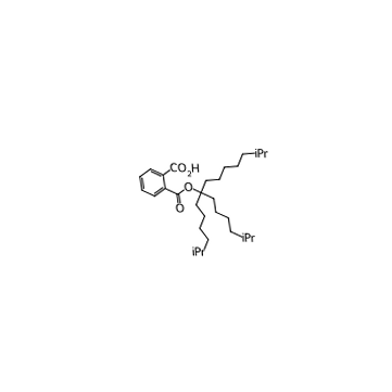 CC(C)CCCCCC(CCCCC(C)C)(CCCCC(C)C)OC(=O)c1ccccc1C(=O)O